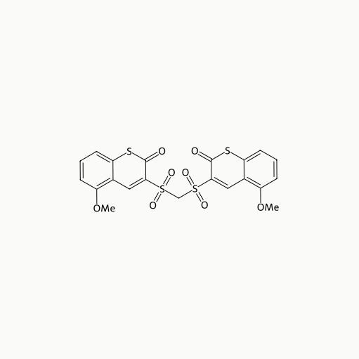 COc1cccc2sc(=O)c(S(=O)(=O)CS(=O)(=O)c3cc4c(OC)cccc4sc3=O)cc12